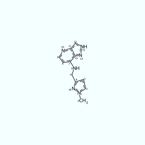 Cn1ccc(CNc2ccnc3c[nH]nc23)n1